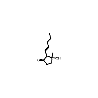 CCCC=CC1C(=O)CCC1(C)O